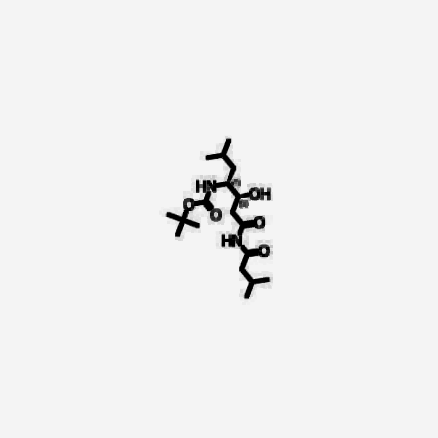 CC(C)CC(=O)NC(=O)C[C@H](O)[C@H](CC(C)C)NC(=O)OC(C)(C)C